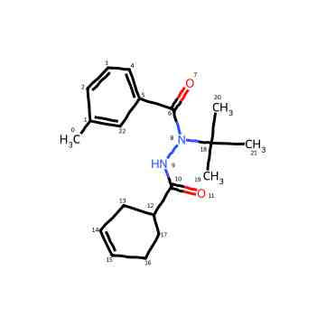 Cc1cccc(C(=O)N(NC(=O)C2CC=CCC2)C(C)(C)C)c1